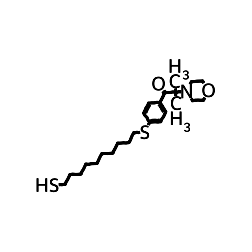 CC(C)(C(=O)c1ccc(SCCCCCCCCCCS)cc1)N1CCOCC1